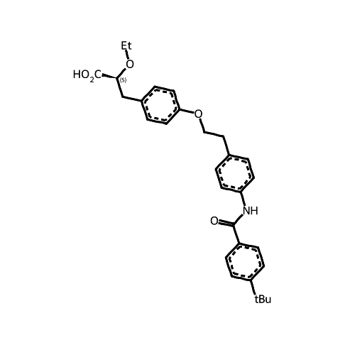 CCO[C@@H](Cc1ccc(OCCc2ccc(NC(=O)c3ccc(C(C)(C)C)cc3)cc2)cc1)C(=O)O